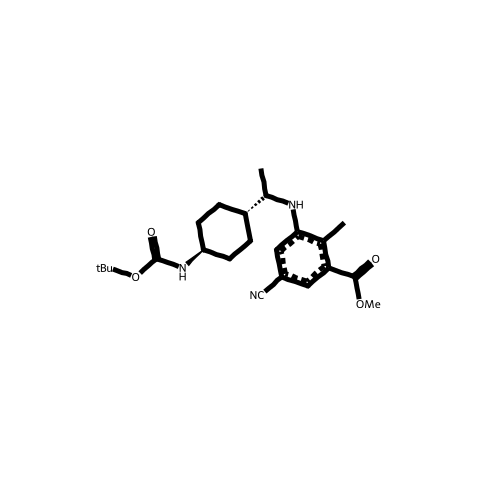 COC(=O)c1cc(C#N)cc(NC(C)[C@H]2CC[C@H](NC(=O)OC(C)(C)C)CC2)c1C